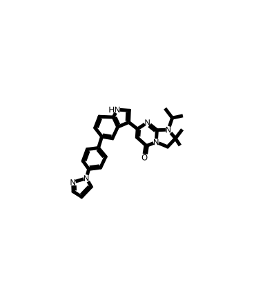 CC(C)N1c2nc(-c3c[nH]c4ccc(-c5ccc(-n6cccn6)cc5)cc34)cc(=O)n2CC1(C)C